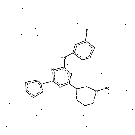 CC(=O)N1CCCC(c2nc(Nc3cccc(F)c3)nc(-c3ccccc3)n2)C1